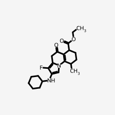 CCOC(=O)C1CCC(C)C2=C1C(=O)Cc1c(F)c(NC3CCCCC3)cn12